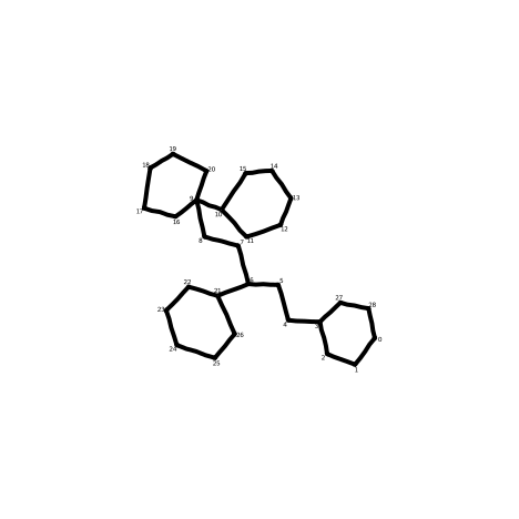 C1CCC(CCC(CCC2(C3CCCCC3)CCCCC2)C2CCCCC2)CC1